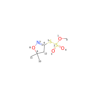 COS(=O)(=O)SC1=NOC(C)(C)C1